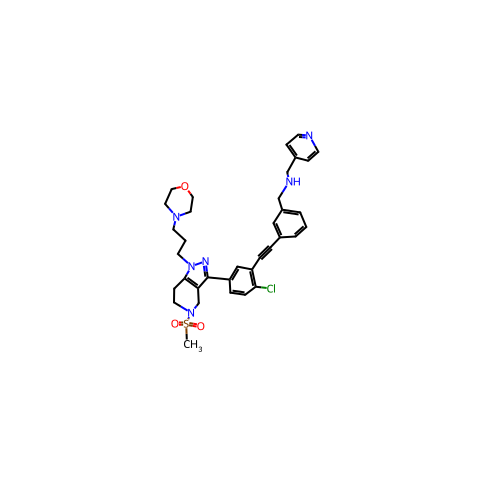 CS(=O)(=O)N1CCc2c(c(-c3ccc(Cl)c(C#Cc4cccc(CNCc5ccncc5)c4)c3)nn2CCCN2CCOCC2)C1